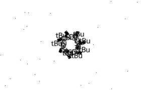 C=C[Si]1(C(C)(C)C)O[Si](C=C)(C(C)(C)C)O[Si](C=C)(C(C)(C)C)O[Si](C=C)(C(C)(C)C)O[Si](C=C)(C(C)(C)C)O[Si](C=C)(C(C)(C)C)O[Si](C=C)(C(C)(C)C)O1